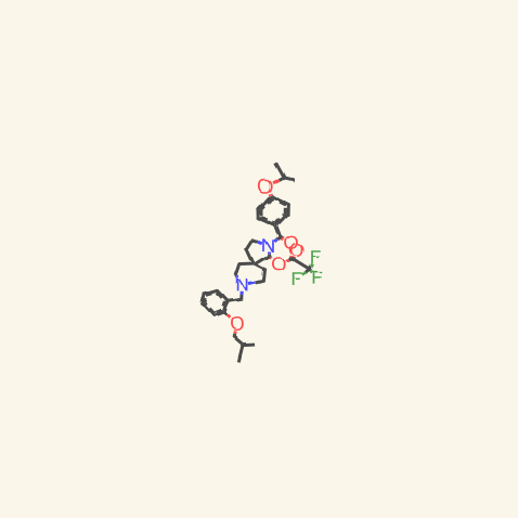 CC(C)COc1ccccc1CN1CCC2(CC1)CCN(C(=O)c1ccc(OC(C)C)cc1)C2OC(=O)C(F)(F)F